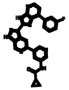 O=C(Nc1cncc(-c2cc3c(-c4nc5c(-c6cccc(F)c6)ccnc5[nH]4)n[nH]c3cn2)c1)C1CC1